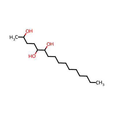 CCCCCCCCCCC(O)C(O)CCC(C)O